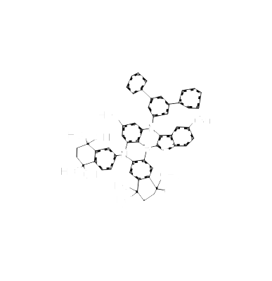 Cc1cc2c3c(c1)N(c1cc(-c4ccccc4)cc(-c4ccccc4)c1)c1c(sc4ccc(C(C)(C)C)cc14)B3c1cc3c(cc1N2c1ccc2c(c1)C(C)(C)CCC2(C)C)C(C)(C)CCC3(C)C